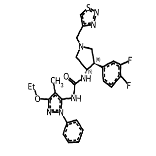 CCOc1nn(-c2ccccc2)c(NC(=O)N[C@@H]2CN(Cc3csnn3)C[C@H]2c2ccc(F)c(F)c2)c1C